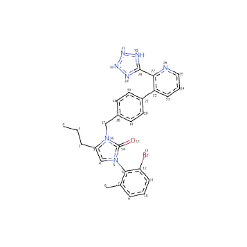 CCCc1cn(-c2c(C)cccc2Br)c(=O)n1Cc1ccc(-c2cccnc2-c2nnn[nH]2)cc1